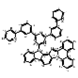 c1ccc(-c2cccc(-c3nc(-c4cccc(-c5ccccn5)c4)nc(-n4c5ccccc5c5ccc6c(nc7c8ccccc8c8ccccc8n67)c54)n3)c2)nc1